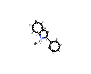 CC(C)n1c(-c2ccccc2)cc2ccccc21